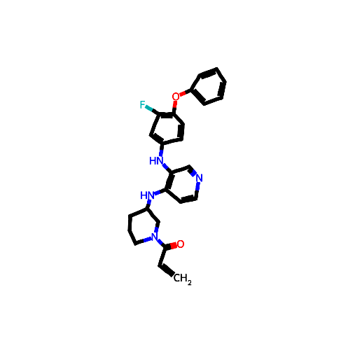 C=CC(=O)N1CCCC(Nc2ccncc2Nc2ccc(Oc3ccccc3)c(F)c2)C1